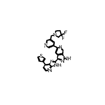 FC1(F)CCN(Cc2cncc(-c3cc4c(-c5nc6c(-c7ccsc7)ccnc6[nH]5)n[nH]c4cn3)c2)C1